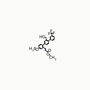 CCOC(=O)/C=C/c1cc(OC)ccc1-c1ccc(-c2cccc(C(F)(F)F)c2)c(CO)c1